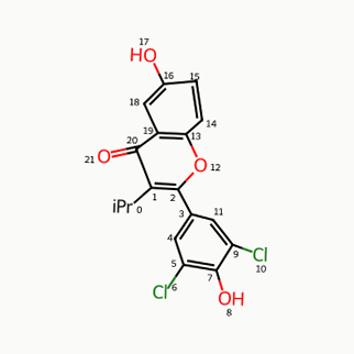 CC(C)c1c(-c2cc(Cl)c(O)c(Cl)c2)oc2ccc(O)cc2c1=O